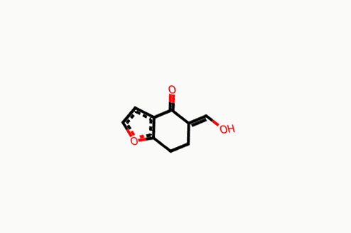 O=C1C(=CO)CCc2occc21